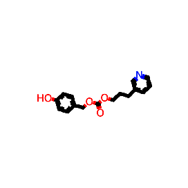 O=C(OCCCc1cccnc1)OCc1ccc(O)cc1